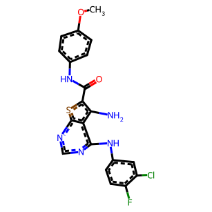 COc1ccc(NC(=O)c2sc3ncnc(Nc4ccc(F)c(Cl)c4)c3c2N)cc1